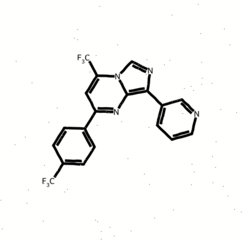 FC(F)(F)c1ccc(-c2cc(C(F)(F)F)n3cnc(-c4cccnc4)c3n2)cc1